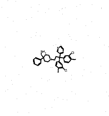 Cc1ccc(C(CCN2CCC(CN)(c3ccccc3)CC2)(c2cccnc2)c2ccc(C)c(Cl)c2)cc1Cl